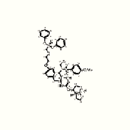 COc1ccc(S(=O)(=O)N(CC(C)C)C[C@@H](O)[C@H](Cc2ccc(OCCOCP(=O)(Oc3ccccc3)Oc3ccccc3)cc2)NC(=O)O[C@H]2CO[C@H]3OCC[C@H]32)cc1